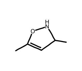 CC1=CC(C)NO1